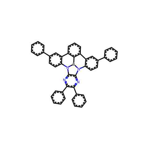 c1ccc(-c2ccc3c(c2)-c2cccc4c2B2N3c3nc(-c5ccccc5)c(-c5ccccc5)nc3N2c2ccc(-c3ccccc3)cc2-4)cc1